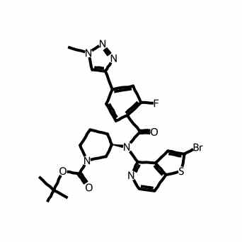 Cn1cc(-c2ccc(C(=O)N(c3nccc4sc(Br)cc34)[C@@H]3CCCN(C(=O)OC(C)(C)C)C3)c(F)c2)nn1